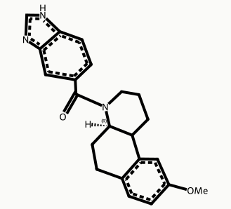 COc1ccc2c(c1)C1CCCN(C(=O)c3ccc4[nH]cnc4c3)[C@@H]1CC2